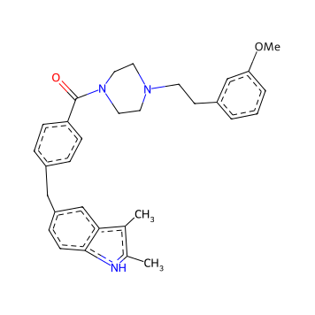 COc1cccc(CCN2CCN(C(=O)c3ccc(Cc4ccc5[nH]c(C)c(C)c5c4)cc3)CC2)c1